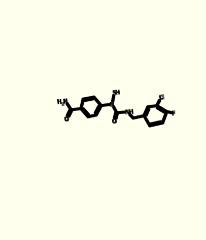 NC(=O)c1ccc(N(S)C(=O)NCc2ccc(F)c(Cl)c2)cc1